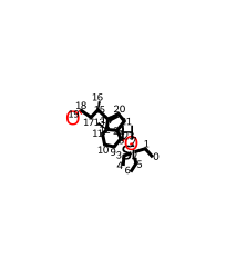 CC[Si](CC)(CC)OC1CCC[C@]2(C)C([C@H](C)CC=O)=CC[C@@H]12